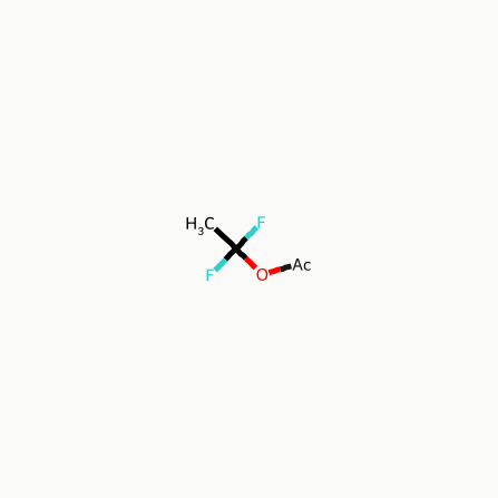 CC(=O)OC(C)(F)F